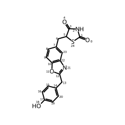 O=C1NC(=O)C(Cc2ccc3oc(Cc4ccc(O)cc4)nc3c2)S1